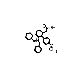 COc1ccc(C2C(CC(=O)O)CCCC2N(CC2CCCCC2)CC2CCCCC2)cc1